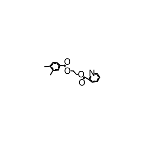 Cc1ccc(C(=O)OCCOC(=O)c2ccccn2)cc1C